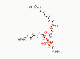 CCCCCCCCCCCCCCCCCC(=O)OCC(COP(=O)(O)OCCN)OC(=O)CCCCCCCCCCCCCCC